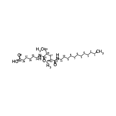 CCCCCCCCCCCCNC(=O)C(C)CC(CC)C(=O)NCCCCCC(=O)O